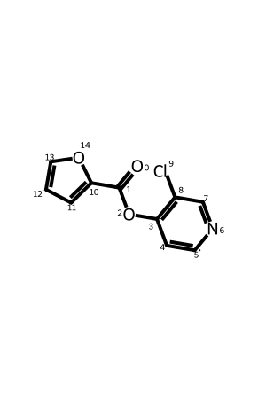 O=C(Oc1c[c]ncc1Cl)c1ccco1